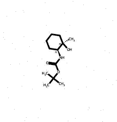 CC(C)(C)OC(=O)N[C@H]1CCCC[C@@]1(C)O